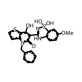 COc1ccc2c(c1)S(O)(O)N=C(c1c(O)c3sccc3n(Cc3ccccc3)c1=O)N2